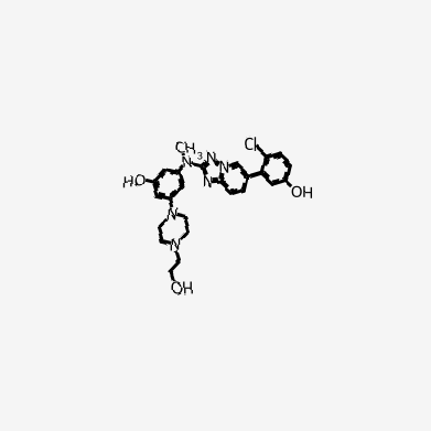 CN(c1cc(O)cc(N2CCN(CCO)CC2)c1)c1nc2ccc(-c3cc(O)ccc3Cl)cn2n1